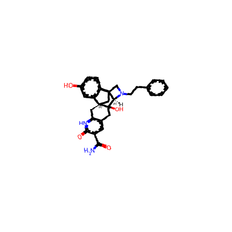 NC(=O)c1cc2c([nH]c1=O)C[C@@]13CC4(CN(CCc5ccccc5)[C@H]4C1(O)C2)c1ccc(O)cc13